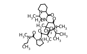 CCCN(C)C(=O)[C@@H]1CCCN1C(=O)/C(C)=C/[C@H](C(C)C)N(C)C(=O)[C@@H](NC(=O)C1CCCCN1C(C)C)C(C)(C)C